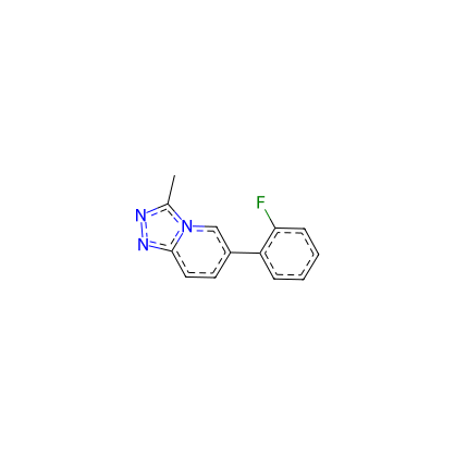 Cc1nnc2ccc(-c3ccccc3F)cn12